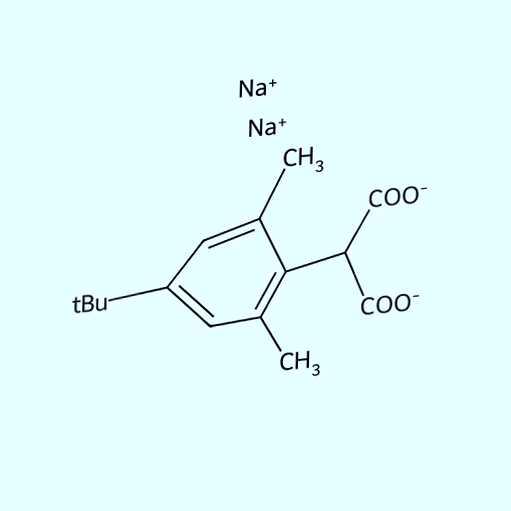 Cc1cc(C(C)(C)C)cc(C)c1C(C(=O)[O-])C(=O)[O-].[Na+].[Na+]